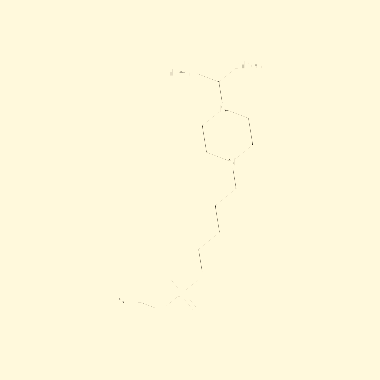 CCCCCCCCCOP(=O)(O)OCCCCN1CCN(C(CCCCC)CCCCC)CC1